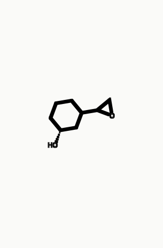 O[C@@H]1CCCC(C2CO2)C1